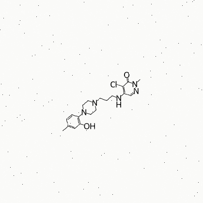 Cc1ccc(N2CCN(CCCNc3cnn(C)c(=O)c3Cl)CC2)c(O)c1